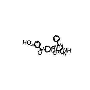 O=C(c1cccc(CO)c1)N1CCC(O)(Cn2c(-c3ccccc3)nc3[nH]ncc3c2=O)CC1